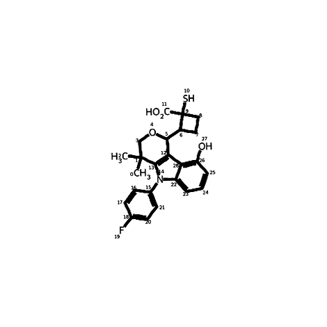 CC1(C)COC(C2CCC2(S)C(=O)O)c2c1n(-c1ccc(F)cc1)c1cccc(O)c21